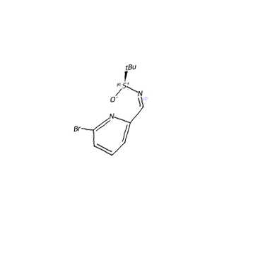 CC(C)(C)[S@+]([O-])/N=C\c1cccc(Br)n1